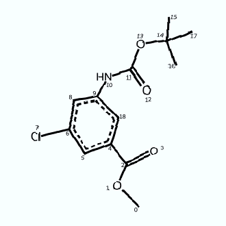 COC(=O)c1cc(Cl)cc(NC(=O)OC(C)(C)C)c1